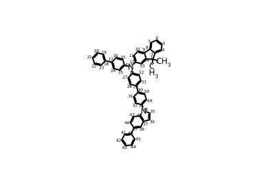 CC1(C)c2ccccc2-c2ccc(N(c3ccc(-c4ccccc4)cc3)c3ccc(-c4ccc(-n5ccc6cc(-c7ccccc7)ccc65)cc4)cc3)cc21